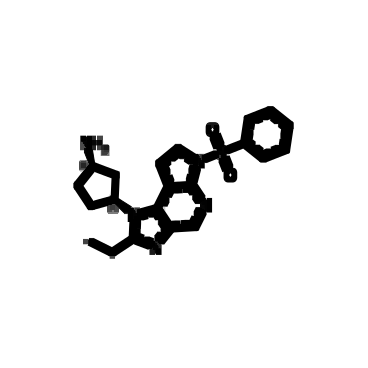 [CH2][CH]c1nc2cnc3c(ccn3S(=O)(=O)c3ccccc3)c2n1[C@H]1CC[C@@H](N)C1